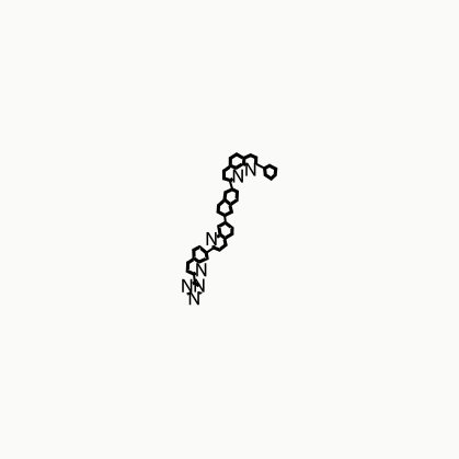 c1ccc(-c2ccc3ccc4ccc(-c5ccc6cc(-c7ccc8ccc(-c9ccc%10ccc(-c%11ncncn%11)nc%10c9)nc8c7)ccc6c5)nc4c3n2)cc1